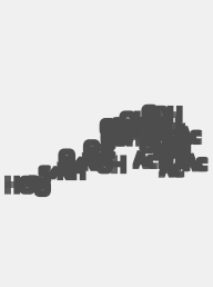 CC(=O)c1nc(N(C(C)=O)C(C)=O)c2nc(C(C)=O)n([C@@H]3O[C@H](COP(=O)(O)OP(=O)(O)OCC(C)(C)C(O)C(=O)NCCC(=O)NCCSC(=O)CO)[C@@H](OP(=O)(O)O)[C@H]3O)c2n1